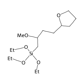 CCO[Si](CC(CCC1CCCO1)OC)(OCC)OCC